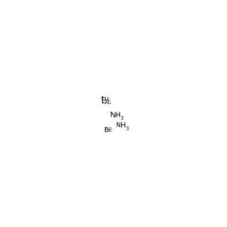 N.N.[Bi].[Bi]